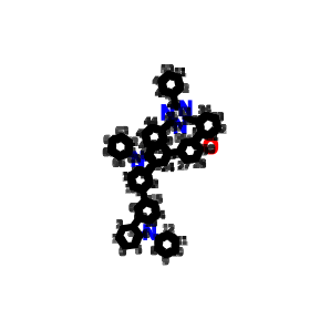 C1=CCC2C(=C1)N(c1ccccc1)c1ccc(-c3ccc4c(c3)c3cc(-c5ccc6oc7cccc(-c8nc(-c9ccccc9)nc(-c9ccccc9)n8)c7c6c5)ccc3n4-c3ccccc3)cc12